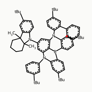 CC(C)(C)c1cccc(N2c3cc(C(C)(C)C)ccc3B3c4ccc(C(C)(C)C)cc4N(c4ccc(C(C)(C)C)cc4-c4ccccc4)c4cc(N5c6ccc(C(C)(C)C)cc6C6(C)CCCCC56C)cc2c43)c1